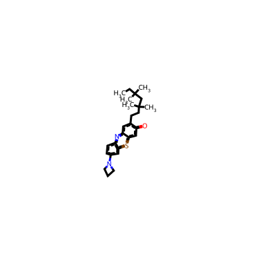 CCC(C)(C)CC(C)(C)CCc1cc2nc3ccc(N4CCC4)cc3sc-2cc1=O